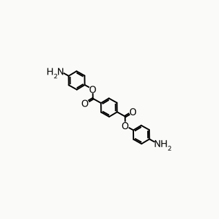 Nc1ccc(OC(=O)c2ccc(C(=O)Oc3ccc(N)cc3)cc2)cc1